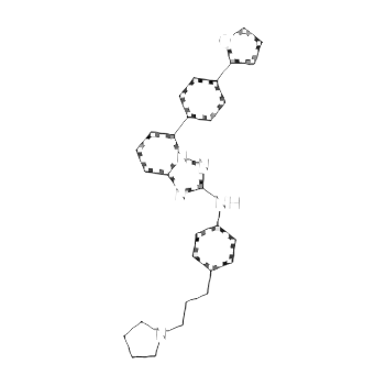 c1coc(-c2ccc(-c3cccc4nc(Nc5ccc(CCCN6CCCC6)cc5)nn34)cc2)c1